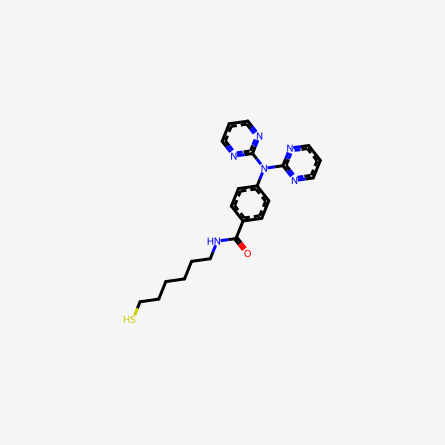 O=C(NCCCCCCS)c1ccc(N(c2ncccn2)c2ncccn2)cc1